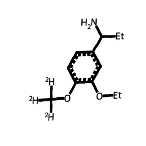 [2H]C([2H])([2H])Oc1ccc(C(N)CC)cc1OCC